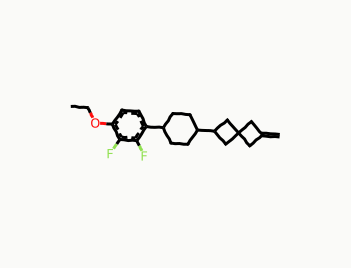 C=C1CC2(C1)CC(C1CCC(c3ccc(OCC)c(F)c3F)CC1)C2